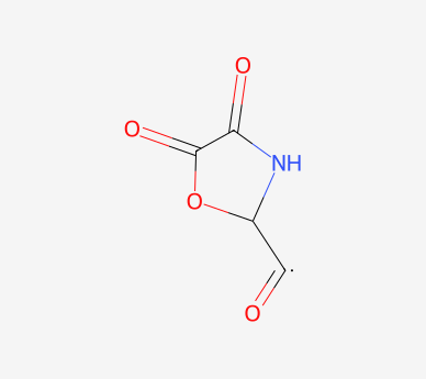 O=[C]C1NC(=O)C(=O)O1